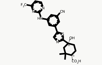 CC1(C)C[C@@](O)(c2ncc(-c3cc(C#N)cc(Nc4nccc(C(F)(F)F)n4)c3)s2)CC[C@@H]1C(=O)O